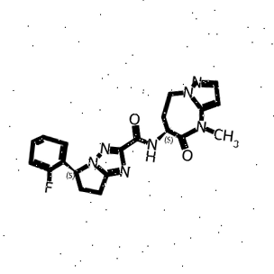 CN1C(=O)[C@@H](NC(=O)c2nc3n(n2)[C@H](c2ccccc2F)CC3)CCn2nccc21